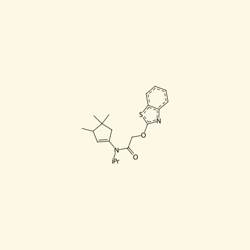 CC(C)N(C(=O)COc1nc2ccccc2s1)C1=CC(C)C(C)(C)C1